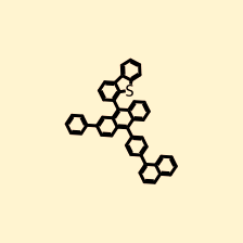 c1ccc(-c2ccc3c(-c4ccc(-c5cccc6ccccc56)cc4)c4ccccc4c(-c4cccc5c4sc4ccccc45)c3c2)cc1